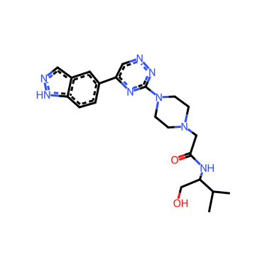 CC(C)C(CO)NC(=O)CN1CCN(c2nncc(-c3ccc4[nH]ncc4c3)n2)CC1